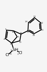 Cl[SiH](Cl)C12C=CC(C1)C(c1ccccc1)C2